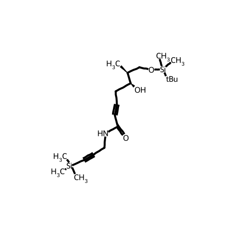 C[C@@H](CO[Si](C)(C)C(C)(C)C)[C@@H](O)CC#CC(=O)NCC#C[Si](C)(C)C